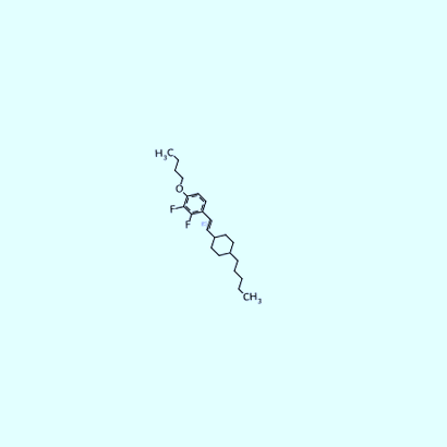 CCCCCC1CCC(/C=C/c2ccc(OCCCC)c(F)c2F)CC1